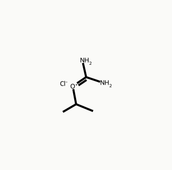 CC(C)[O+]=C(N)N.[Cl-]